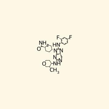 C[C@H]1COCC[C@H]1Nc1ncc2nc(Nc3ccc(F)cc3F)n([C@H]3CC[C@H](C(N)=O)CC3)c2n1